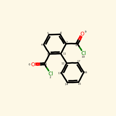 O=C(Cl)c1cccc(C(=O)Cl)c1-c1ccccc1